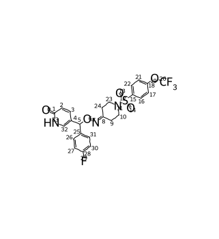 O=c1ccc(C(ON=C2CCN(S(=O)(=O)c3ccc(OC(F)(F)F)cc3)CC2)c2ccc(F)cc2)c[nH]1